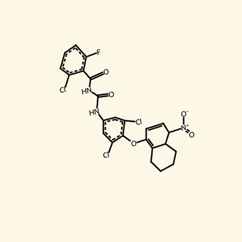 O=C(NC(=O)c1c(F)cccc1Cl)Nc1cc(Cl)c(OC2=C3CCCCC3C([N+](=O)[O-])C=C2)c(Cl)c1